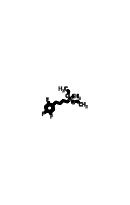 CCO[Si](C)(CCCCc1cc(F)c(F)cc1F)OCC